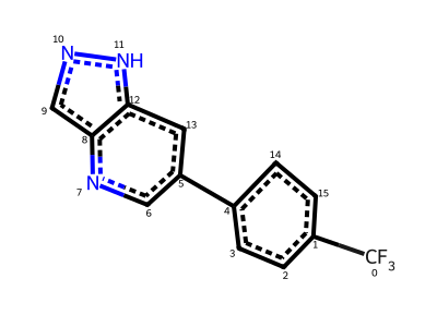 FC(F)(F)c1ccc(-c2cnc3cn[nH]c3c2)cc1